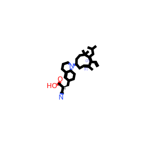 C=CC1=C(\CC(C)C)C(C)(C)CCC(N2CCCC3=CC(C[C@@H](C#N)C(=O)O)CCC32)C\C=C\1C